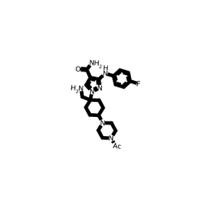 CC(=O)N1CCN(C2CCC(CN)(n3cc(C(N)=O)c(Nc4ccc(F)cc4)n3)CC2)CC1